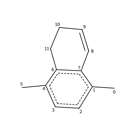 Cc1ccc(C)c2c1C=CCC2